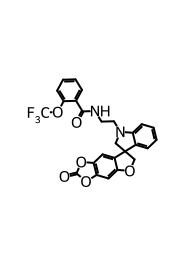 O=C(NCCN1CC2(COc3cc4oc(=O)oc4cc32)c2ccccc21)c1ccccc1OC(F)(F)F